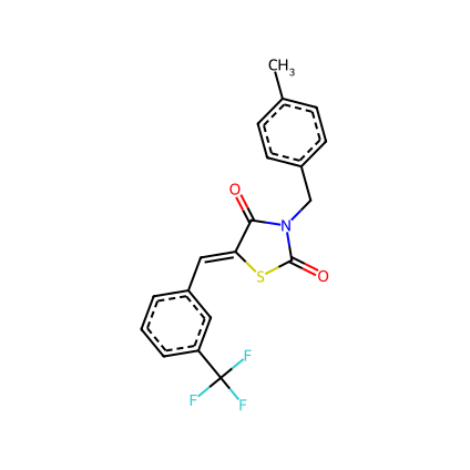 Cc1ccc(CN2C(=O)S/C(=C\c3cccc(C(F)(F)F)c3)C2=O)cc1